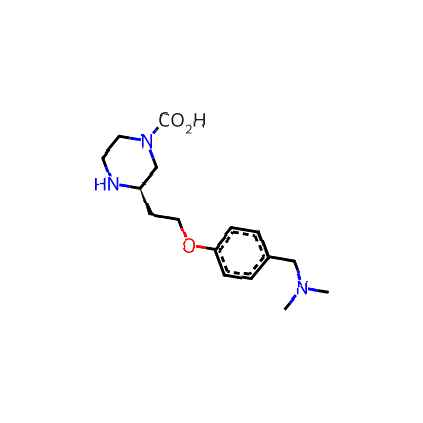 CN(C)Cc1ccc(OCC[C@@H]2CN(C(=O)O)CCN2)cc1